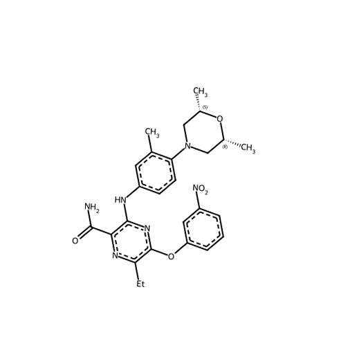 CCc1nc(C(N)=O)c(Nc2ccc(N3C[C@@H](C)O[C@@H](C)C3)c(C)c2)nc1Oc1cccc([N+](=O)[O-])c1